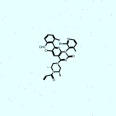 C=CC(=O)N1[C@H](C)CN(c2nc(=O)n(-c3c(C)ccnc3C(C)C)c3nc(-c4c(F)cccc4C=O)c(Cl)cc23)C[C@H]1C